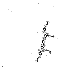 O=C(Oc1ccc(OC(=O)[C@H]2CC[C@H](C(=O)Oc3ccc(OC(=O)c4ccc(OCCCC5CO5)cc4)c(C(=O)OCCC4CO4)c3)CC2)cc1C(=O)OCCC1CO1)c1ccc(OCCCC2CO2)cc1